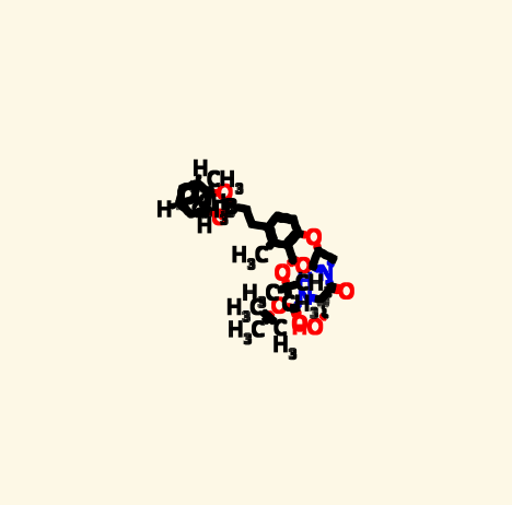 Cc1c(CCB2O[C@@H]3C[C@@H]4C[C@@H](C4(C)C)[C@]3(C)O2)ccc(OC2CN(C(=O)[C@H](CO)NC(=O)OC(C)(C)C)C2)c1C(=O)OC(C)(C)C